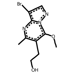 COc1c(CCO)c(C)nc2c(Br)cnn12